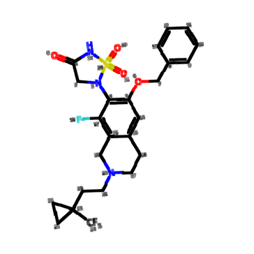 O=C1CN(c2c(OCc3ccccc3)cc3c(c2F)CN(CCC2(C(F)(F)F)CC2)CC3)S(=O)(=O)N1